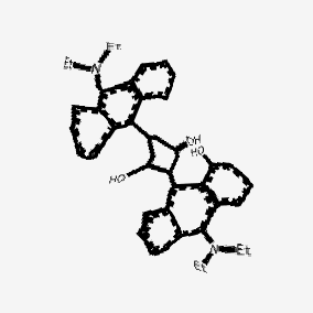 CCN(CC)c1c2ccccc2c(C2C(O)C(c3c4ccccc4c(N(CC)CC)c4cccc(O)c34)C2O)c2ccccc12